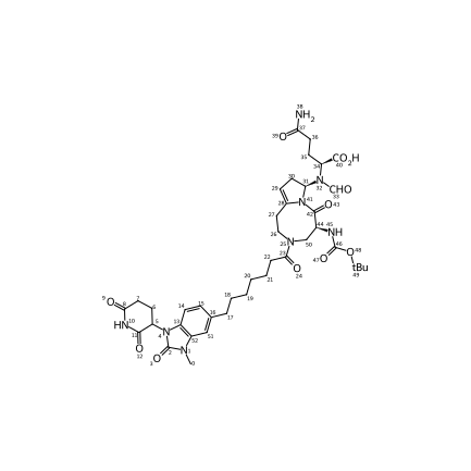 Cn1c(=O)n(C2CCC(=O)NC2=O)c2ccc(CCCCCCC(=O)N3CCC4=CC[C@@H](N(C=O)[C@@H](CCC(N)=O)C(=O)O)N4C(=O)[C@@H](NC(=O)OC(C)(C)C)C3)cc21